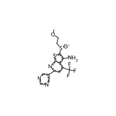 COCC[S@+]([O-])c1sc2nc(-c3cncnc3)cc(C(F)(F)F)c2c1N